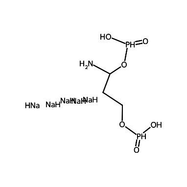 NC(CCO[PH](=O)O)O[PH](=O)O.[NaH].[NaH].[NaH].[NaH].[NaH]